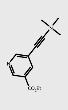 CCOC(=O)c1cncc(C#C[Si](C)(C)C)c1